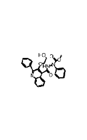 COC(=O)N(NC(=O)c1c(OCCO)c(-c2ccccc2)nc2ccccc12)c1ccccc1